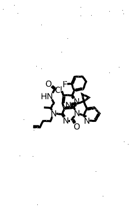 C=CCCN(/C(=N/C)c1cc(Cl)c(C2=CCCC=C2F)nc1N(C=O)c1ncccc1C1(C#N)CC1)C(C)CNC=O